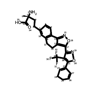 C[C@@](N)(CCc1ccc2c(c1)CCc1c-2noc1-c1noc(C2=CCCC=C2)c1C(F)(F)F)C(=O)O